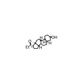 CCC(=O)[C@H]1CC[C@H]2C3CC[C@@H]4C[C@](C)(O)CC[C@@H]4[C@H]3CC[C@]12C